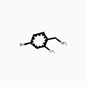 CC(C)c1ccc(CN)c(C(F)(F)F)c1